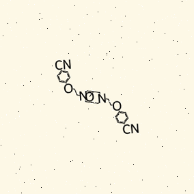 N#Cc1ccc(OCCN2CC3CN(CCOc4ccc(C#N)cc4)CC(C2)O3)cc1